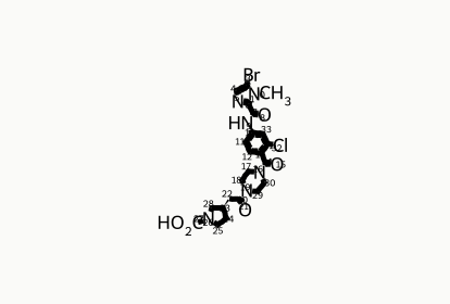 Cn1c(Br)cnc1C(=O)Nc1ccc(C(=O)N2CCN(C(=O)C[C@@H]3CCN(C(=O)O)C3)CC2)c(Cl)c1